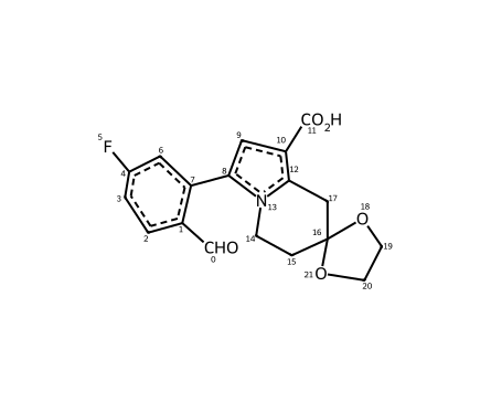 O=Cc1ccc(F)cc1-c1cc(C(=O)O)c2n1CCC1(C2)OCCO1